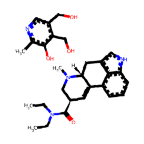 CCN(CC)C(=O)[C@@H]1C=C2c3cccc4[nH]cc(c34)C[C@H]2N(C)C1.Cc1ncc(CO)c(CO)c1O